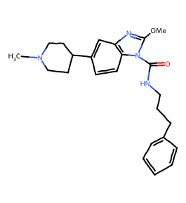 COc1nc2cc(C3CCN(C)CC3)ccc2n1C(=O)NCCCc1ccccc1